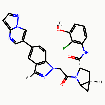 CC(=O)c1nn(CC(=O)N2C3C[C@@H]3C[C@H]2C(=O)Nc2cccc(OC(F)(F)F)c2F)c2ccc(-c3cnc4ccnn4c3)cc12